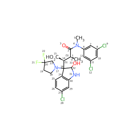 C[C@H](C(=O)N(C)c1cc(Cl)cc(Cl)c1)[C@H](C(=O)O)C1(N2CCC(F)(F)C2)c2ccc(Cl)cc2NC1O